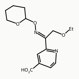 CCOC/C(=N\OC1CCCCO1)c1cc(C(=O)O)ccn1